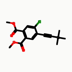 COC(=O)c1cc(Cl)c(C#C[Si](C)(C)C)cc1C(=O)OC